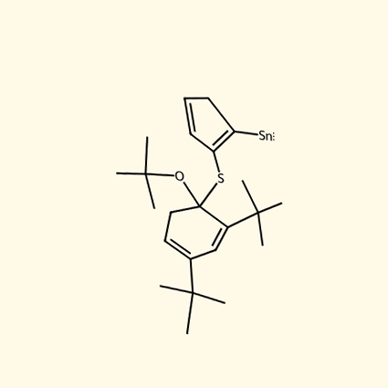 CC(C)(C)OC1(SC2=[C]([Sn])CC=C2)CC=C(C(C)(C)C)C=C1C(C)(C)C